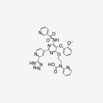 COc1ccccc1Oc1c(NS(=O)(=O)c2cccnc2)nc(-c2ccnc(-c3nnn[nH]3)c2)nc1OCCN(C(=O)O)c1ccccn1